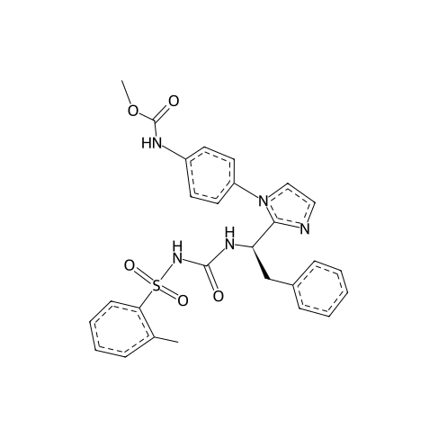 COC(=O)Nc1ccc(-n2ccnc2[C@@H](Cc2ccccc2)NC(=O)NS(=O)(=O)c2ccccc2C)cc1